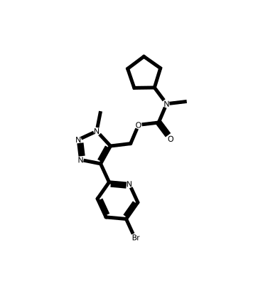 CN(C(=O)OCc1c(-c2ccc(Br)cn2)nnn1C)C1CCCC1